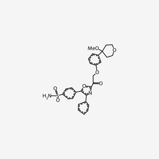 COC1(c2cccc(OCC(=O)c3nc(-c4ccccc4)c(-c4ccc(S(N)(=O)=O)cc4)o3)c2)CCOCC1